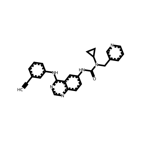 C#Cc1cccc(Nc2ncnc3ccc(NC(=O)N(Cc4cccnc4)C4CC4)cc23)c1